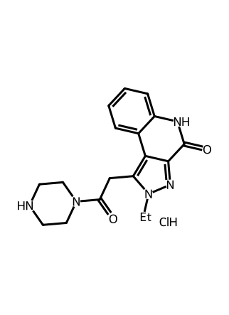 CCn1nc2c(=O)[nH]c3ccccc3c2c1CC(=O)N1CCNCC1.Cl